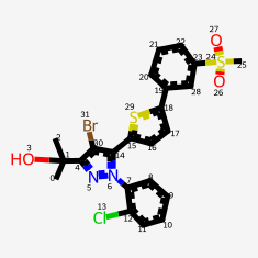 CC(C)(O)c1nn(-c2ccccc2Cl)c(-c2ccc(-c3cccc(S(C)(=O)=O)c3)s2)c1Br